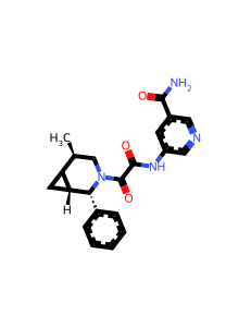 C[C@H]1CN(C(=O)C(=O)Nc2cncc(C(N)=O)c2)[C@H](c2ccccc2)[C@@H]2CC21